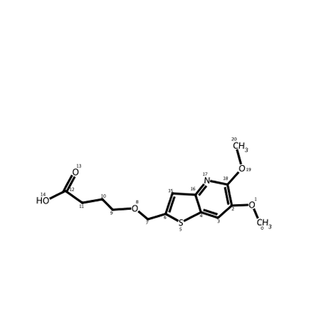 COc1cc2sc(COCCCC(=O)O)cc2nc1OC